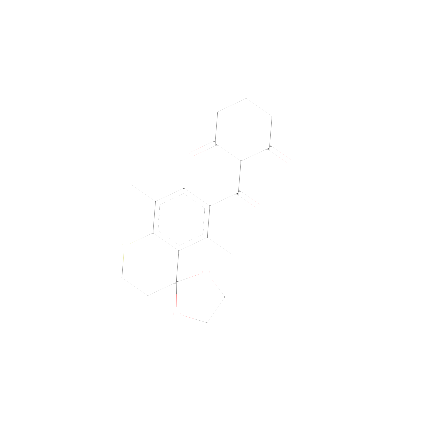 Cc1cc(C(=O)C2C(=O)CCCC2=O)c(C)c2c1SCCC21OCCO1